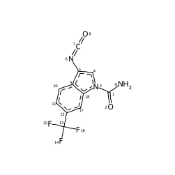 NC(=O)n1cc(N=C=O)c2ccc(C(F)(F)F)cc21